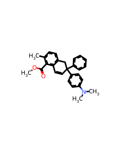 COC(=O)c1c(C)ccc2c1C=CC(c1ccccc1)(c1ccc(N(C)C)cc1)C2